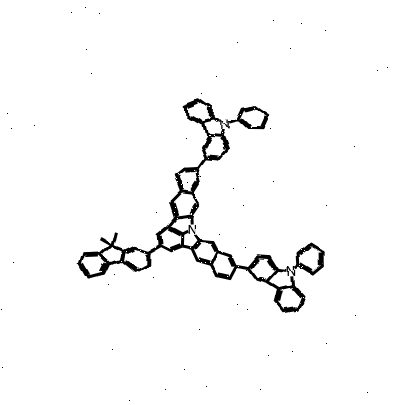 CC1(C)c2ccccc2-c2ccc(-c3cc4c5cc6ccc(-c7ccc8c(c7)c7ccccc7n8-c7ccccc7)cc6cc5n5c6cc7cc(-c8ccc9c(c8)c8ccccc8n9-c8ccccc8)ccc7cc6c(c3)c45)cc21